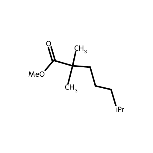 COC(=O)C(C)(C)CCCC(C)C